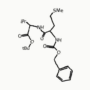 CSCCC(NC(=O)OCc1ccccc1)C(=O)NC(C(=O)OC(C)(C)C)C(C)C